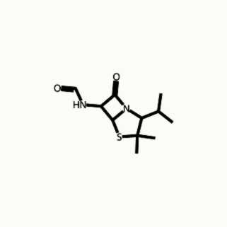 CC(C)C1N2C(=O)C(NC=O)C2SC1(C)C